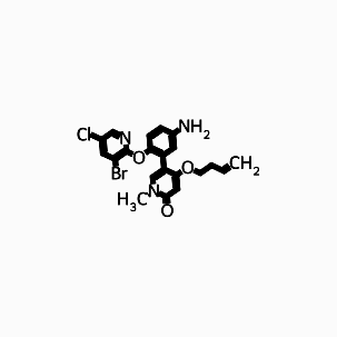 C=CCCOc1cc(=O)n(C)cc1-c1cc(N)ccc1Oc1ncc(Cl)cc1Br